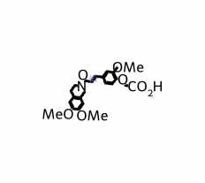 COc1cc2c(cc1OC)CN(C(=O)/C=C/c1ccc(OCC(=O)O)c(OC)c1)CC2